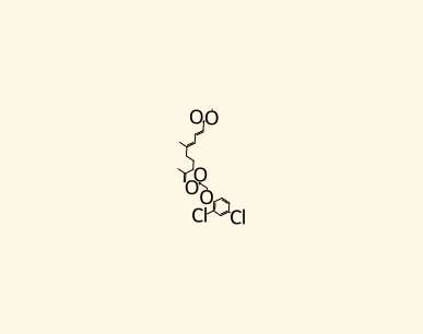 C=C(C)C(CCC(C)=CC=CC(=O)OC)OC(=O)COc1ccc(Cl)cc1Cl